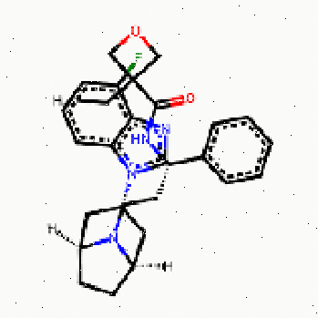 CCC1(C(=O)N[C@@H](CCN2[C@@H]3CC[C@H]2C[C@H](n2cnc4c(F)cccc42)C3)c2ccccc2)COC1